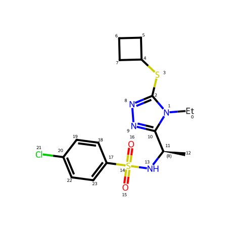 CCn1c(SC2CCC2)nnc1[C@@H](C)NS(=O)(=O)c1ccc(Cl)cc1